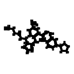 O=C(Nc1ncc(C2CCCC2)cc1F)c1cc([N+](=O)[O-])ccc1Sc1nnnn1CCOCCO